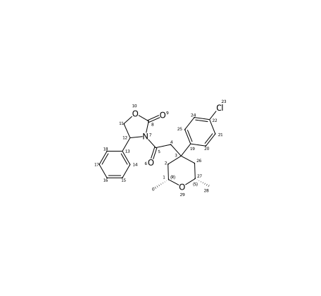 C[C@@H]1CC(CC(=O)N2C(=O)OCC2c2ccccc2)(c2ccc(Cl)cc2)C[C@H](C)O1